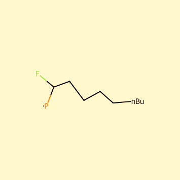 CCCCCCCCC(F)[P]